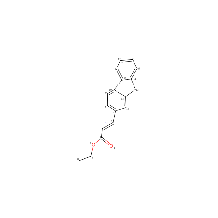 CCOC(=O)/C=C/c1ccc2c(c1)Cc1ccccc1-2